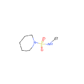 CCNS(=O)(=O)N1CCCCC1